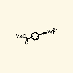 COC(=O)c1ccc(C#[C][Mg][Br])cc1